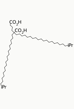 CC(C)CCCCCCCCCCCCCCCCCCCC(CCCCCCCCCCCCCCCCCCCC(C)C)(CCCC(=O)O)C(=O)O